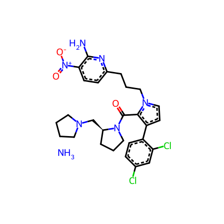 N.Nc1nc(CCCn2ccc(-c3ccc(Cl)cc3Cl)c2C(=O)N2CCC[C@H]2CN2CCCC2)ccc1[N+](=O)[O-]